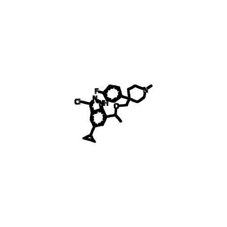 CC(OCC1(c2ccc(F)cc2)CCN(C)CC1)c1cc(C2CC2)cc2c(Cl)n[nH]c12